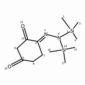 C[Si](C)(C)N(N=C1CCC(=O)CC1=O)[Si](C)(C)C